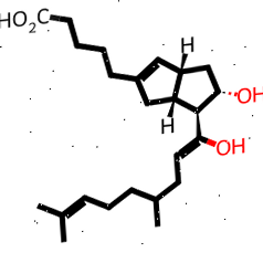 CC(C)=CCCC(C)CC=C(O)[C@H]1[C@@H]2CC(CCCCC(=O)O)=C[C@@H]2C[C@@H]1O